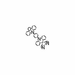 c1ccc2c(c1)Oc1ccccc1N2c1ccc(N2c3ccccc3C3(c4ccccc42)c2cccnc2-c2ncccc23)cc1